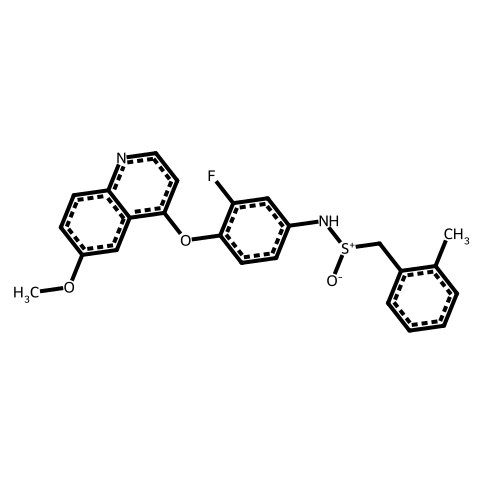 COc1ccc2nccc(Oc3ccc(N[S+]([O-])Cc4ccccc4C)cc3F)c2c1